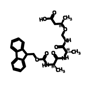 C[C@H](CC(=O)O)OCNC(=O)[C@H](C)NC(=O)[C@H](C)NC(=O)OCC1c2ccccc2-c2ccccc21